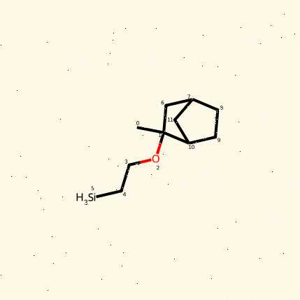 CC1(OCC[SiH3])CC2CCC1C2